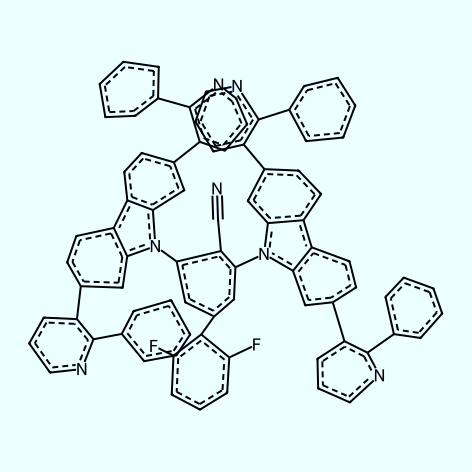 N#Cc1c(-n2c3cc(-c4cccnc4-c4ccccc4)ccc3c3ccc(-c4cccnc4-c4ccccc4)cc32)cc(-c2c(F)cccc2F)cc1-n1c2cc(-c3cccnc3-c3ccccc3)ccc2c2ccc(-c3cccnc3-c3ccccc3)cc21